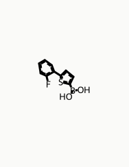 OB(O)c1ccc(-c2ccccc2F)s1